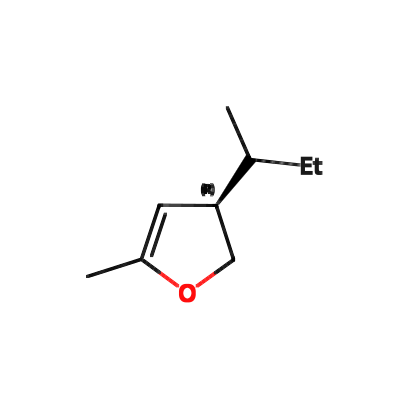 CCC(C)[C@@H]1C=C(C)OC1